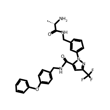 C[C@H](N)C(=O)NCc1cccc(-n2nc(C(F)(F)F)cc2C(=O)NCc2ccc(Oc3ccccc3)cc2)c1